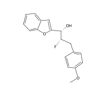 COc1ccc(C[C@H](F)[C@@H](O)c2cc3ccccc3o2)cc1